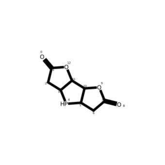 O=C1CC2PC3CC(=O)OC3C2O1